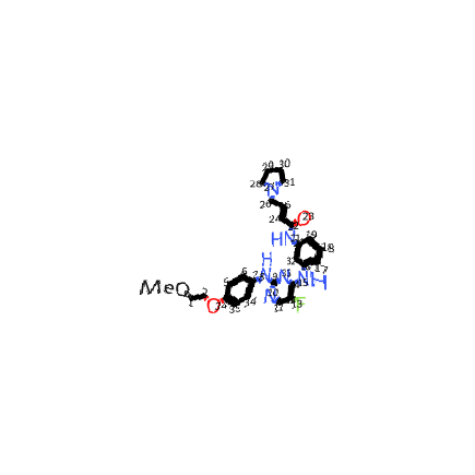 COCCOc1ccc(Nc2ncc(F)c(Nc3cccc(NC(=O)/C=C/CN4CCCC4)c3)n2)cc1